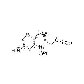 CCCCCCCCOCC(=O)N(CCC)c1cc(N)ccc1C(=O)OCC